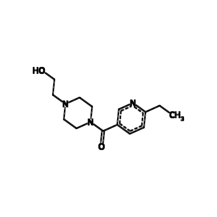 CCc1ccc(C(=O)N2CCN(CCO)CC2)cn1